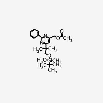 CC(=O)OCc1cc(C(C)(C)CO[Si](C)(C)C(C)(C)C)nc(-c2ccccc2)n1